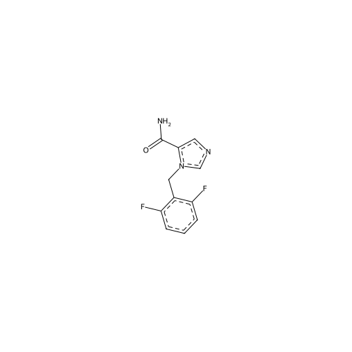 NC(=O)c1cncn1Cc1c(F)cccc1F